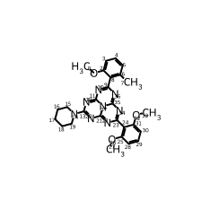 COc1cccc(C)c1C1=NC2=NC(N3CCCCC3)=NC3=NC(c4c(OC)cccc4OC)=NC(=N1)N32